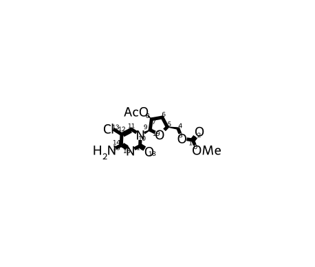 COC(=O)OC[C@@H]1C[C@@H](OC(C)=O)[C@H](n2cc(Cl)c(N)nc2=O)O1